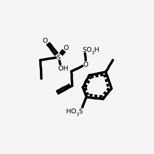 C=CCOS(=O)(=O)O.CCS(=O)(=O)O.Cc1ccc(S(=O)(=O)O)cc1